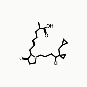 CC(CCC=CCC1C(=O)CCN1CCCC(O)C1(CC2CC2)CC1)C(=O)O